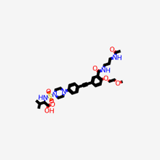 COCCOc1ccc(C#Cc2ccc(N3CCN(S(=O)(=O)N[C@@H](C(=O)O)C(C)C)CC3)cc2)cc1C(=O)NCCCNC(C)=O